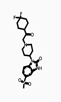 CS(=O)(=O)c1ccc2c(c1)[nH]c(=O)n2C1CCN(CC(=O)C2CCC(F)(F)CC2)CC1